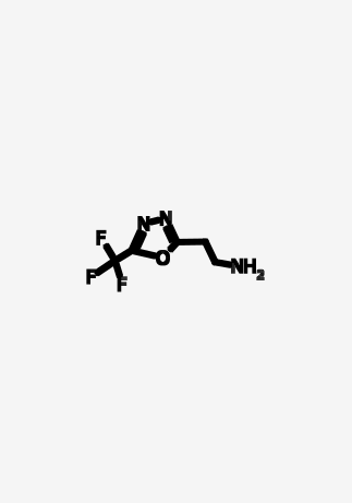 NCCc1nnc(C(F)(F)F)o1